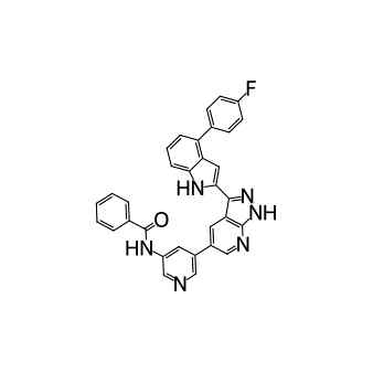 O=C(Nc1cncc(-c2cnc3[nH]nc(-c4cc5c(-c6ccc(F)cc6)cccc5[nH]4)c3c2)c1)c1ccccc1